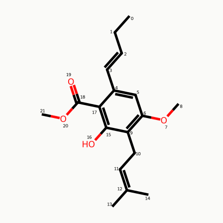 CC/C=C/c1cc(OC)c(CC=C(C)C)c(O)c1C(=O)OC